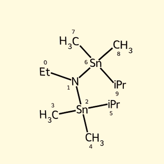 CC[N]([Sn]([CH3])([CH3])[CH](C)C)[Sn]([CH3])([CH3])[CH](C)C